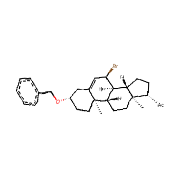 CC(=O)[C@H]1CC[C@H]2[C@@H]3[C@H](Br)C=C4C[C@@H](OCc5ccccc5)CC[C@]4(C)[C@H]3CC[C@]12C